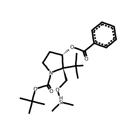 C[SiH](C)OC[C@]1(C(C)(C)C)[C@@H](OC(=O)c2ccccc2)CCN1C(=O)OC(C)(C)C